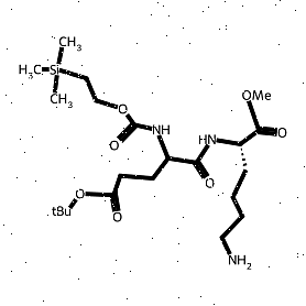 COC(=O)[C@H](CCCCN)NC(=O)C(CCC(=O)OC(C)(C)C)NC(=O)OCC[Si](C)(C)C